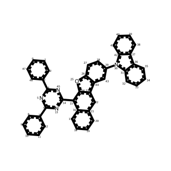 c1ccc(-c2nc(-c3ccccc3)nc(-c3c4ccccc4cc4c3oc3ccc(-n5c6ccccc6c6ccccc65)cc34)n2)cc1